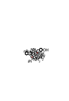 CCCCC(N)C(=O)N(C(=O)C(N)Cc1ccc(O)cc1)C(C(=O)O)(C(=O)C(N)Cc1ccccc1)C(C(=O)C(N)CCCC)(C(=O)C(N)CC(C)C)C(C)(C)C=O